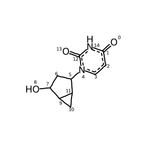 O=c1ccn(C2CC(O)C3CC32)c(=O)[nH]1